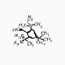 C#Cc1c([Si](C)(C)C)cc([Si](C)(C)C)cc1[Si](C)(C)C